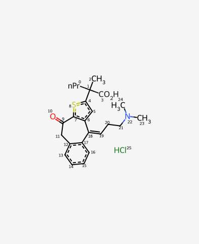 CCCC(C)(C(=O)O)c1cc2c(s1)C(=O)Cc1ccccc1/C2=C/CCN(C)C.Cl